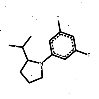 CC(C)C1CCCN1c1cc(F)cc(F)c1